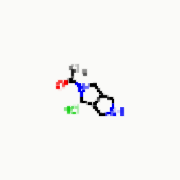 Cl.O=C(N1CC2CNCC2C1)C(F)(F)F